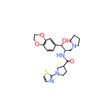 O=C(N[C@H](CN1CCCC1)[C@H](O)c1ccc2c(c1)OCCO2)C1CCN(c2nccs2)C1